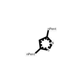 CCCCCc1cc(CCCCC)sn1